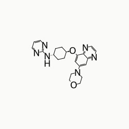 c1cnc(N[C@H]2CC[C@H](Oc3cc(N4CCOCC4)cc4nccnc34)CC2)nc1